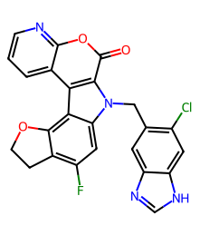 O=c1oc2ncccc2c2c3c4c(c(F)cc3n(Cc3cc5nc[nH]c5cc3Cl)c12)CCO4